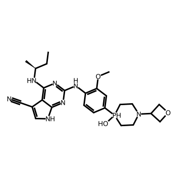 CC[C@H](C)Nc1nc(Nc2ccc([PH]3(O)CCN(C4COC4)CC3)cc2OC)nc2[nH]cc(C#N)c12